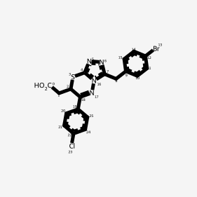 O=C(O)CC1Sc2nnc(Cc3ccc(Br)cc3)n2N=C1c1ccc(Cl)cc1